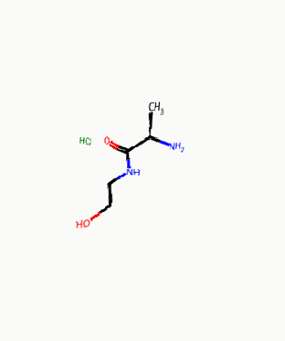 C[C@@H](N)C(=O)NCCO.Cl